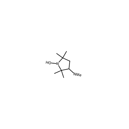 CNC1CC(C)(C)N(O)C1(C)C